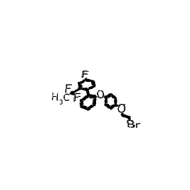 CC(F)(F)c1cc(F)ccc1-c1ccccc1Oc1ccc(OCCBr)cc1